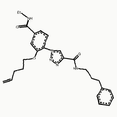 C=CCCCOc1cc(C(=O)NCC)ccc1-n1cc(C(=O)NCCCc2ccccc2)nn1